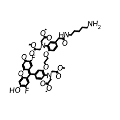 COC(=O)CN(CC(=O)OC)c1ccc(-c2c3cc(F)c(=O)cc-3oc3cc(O)c(F)cc23)cc1OCCOc1ccc(CC(=O)NCCCCCN)cc1N(CC(=O)OC)CC(=O)OC